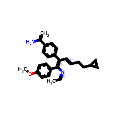 C=C(N)c1ccc(C(/C=C/CCC2CC2)=C(/N=C\C)c2ccc(OC)cc2)cc1